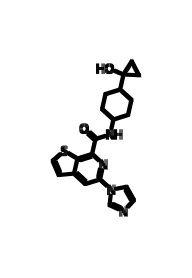 O=C(NC1CCC(C2(O)CC2)CC1)c1nc(-n2ccnc2)cc2ccsc12